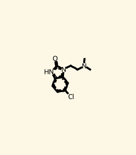 CN(C)CCn1c(=O)[nH]c2ccc(Cl)cc21